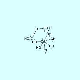 O=C(O)OC(=O)O.[OH][Co]([OH])([OH])([OH])([OH])[OH]